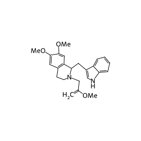 C=C(CN1CCc2cc(OC)c(OC)cc2C1Cc1c[nH]c2ccccc12)OC